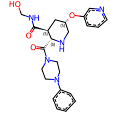 O=C(NCO)[C@H]1C[C@H](Oc2cccnc2)CN[C@@H]1C(=O)N1CCN(c2ccccc2)CC1